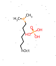 CCCCCCCCCCCCCCP(C)C.O=P(O)(O)O